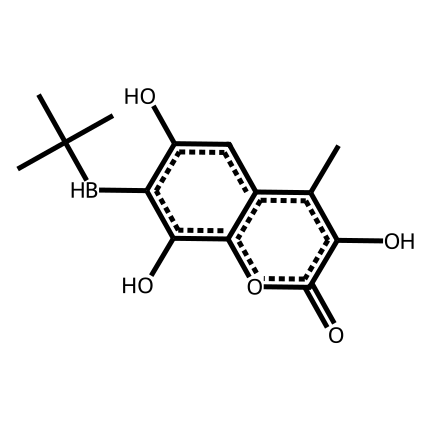 Cc1c(O)c(=O)oc2c(O)c(BC(C)(C)C)c(O)cc12